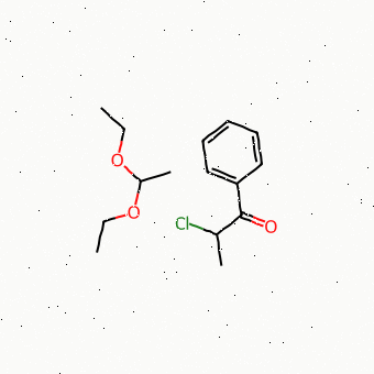 CC(Cl)C(=O)c1ccccc1.CCOC(C)OCC